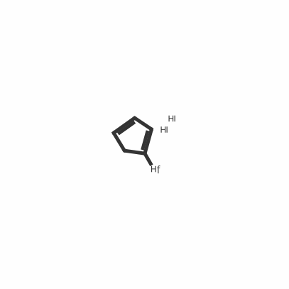 I.I.[Hf][C]1=CC=CC1